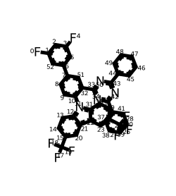 Fc1cc(F)cc(-c2ccc(-n3c4ccc(C(F)(F)F)cc4c4cc(C(F)(F)F)ccc43)c(-c3nc(-c4ccccc4)nc(-c4ccccc4)n3)c2)c1